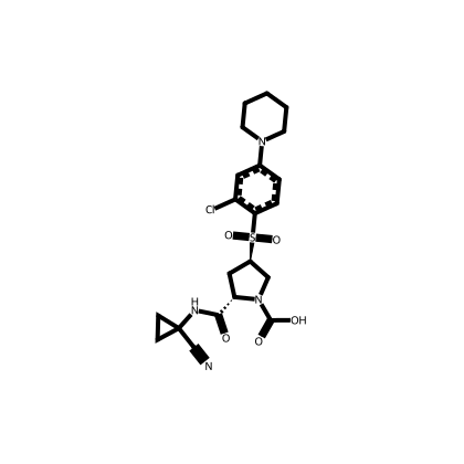 N#CC1(NC(=O)[C@@H]2C[C@@H](S(=O)(=O)c3ccc(N4CCCCC4)cc3Cl)CN2C(=O)O)CC1